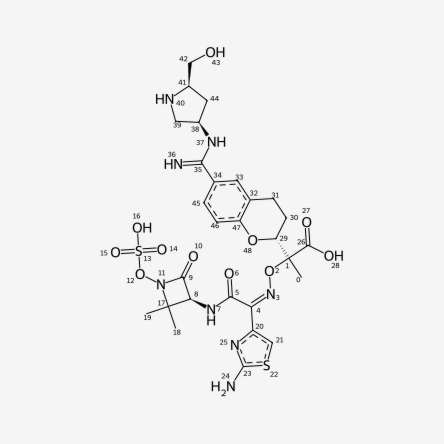 CC(O/N=C(\C(=O)N[C@@H]1C(=O)N(OS(=O)(=O)O)C1(C)C)c1csc(N)n1)(C(=O)O)[C@H]1CCc2cc(C(=N)N[C@H]3CN[C@@H](CO)C3)ccc2O1